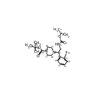 CC(C)OC(=O)NCC(c1ccccc1F)N1CCN(C(=O)OC(C)(C)C)CC1